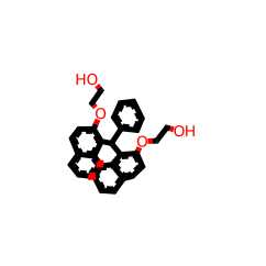 OCCOc1ccc2ccccc2c1C(c1ccccc1)c1c(OCCO)ccc2ccccc12